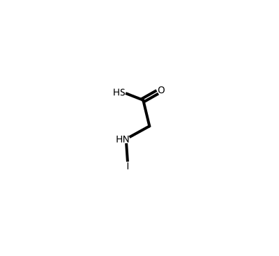 O=C(S)CNI